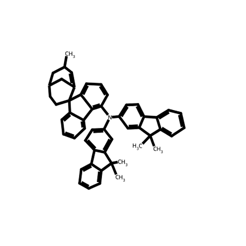 CC1C=C2CC(CCC23c2ccccc2-c2c(N(c4ccc5c(c4)C(C)(C)c4ccccc4-5)c4ccc5c(c4)C(C)(C)c4ccccc4-5)cccc23)C1